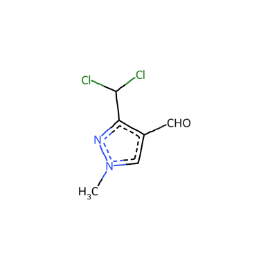 Cn1cc(C=O)c(C(Cl)Cl)n1